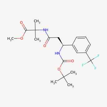 COC(=O)C(C)(C)NC(=O)C[C@H](NC(=O)OC(C)(C)C)c1cccc(C(F)(F)F)c1